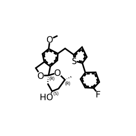 COc1cc2c(cc1Cc1ccc(-c3ccc(F)cc3)s1)[C@]1(C[C@@H](O)C[C@@H](C)O1)OC2